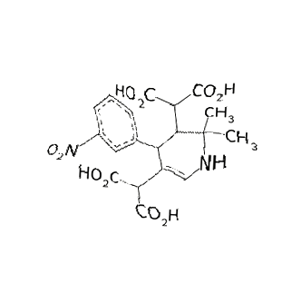 CC1(C)NC=C(C(C(=O)O)C(=O)O)C(c2cccc([N+](=O)[O-])c2)C1C(C(=O)O)C(=O)O